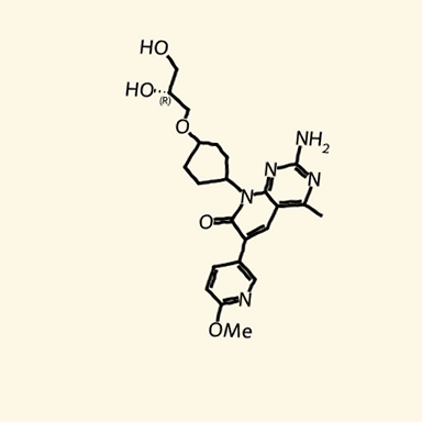 COc1ccc(-c2cc3c(C)nc(N)nc3n(C3CCC(OC[C@H](O)CO)CC3)c2=O)cn1